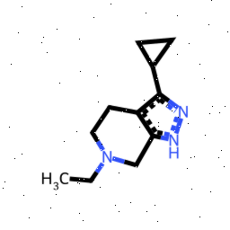 CCN1CCc2c(C3CC3)n[nH]c2C1